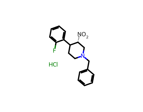 Cl.O=[N+]([O-])[C@@H]1CN(Cc2ccccc2)CCC1c1ccccc1F